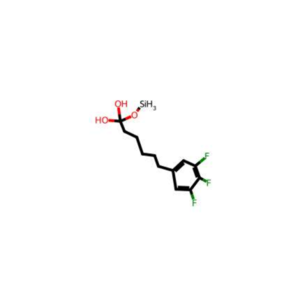 OC(O)(CCCCCc1cc(F)c(F)c(F)c1)O[SiH3]